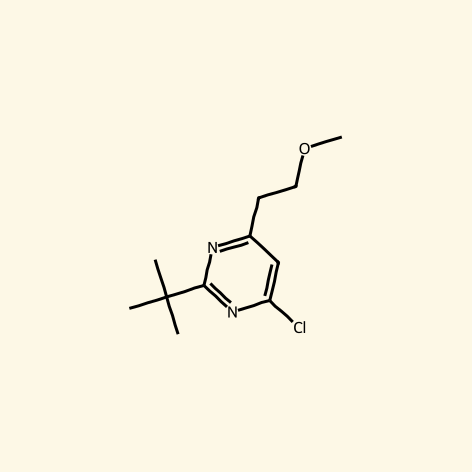 COCCc1cc(Cl)nc(C(C)(C)C)n1